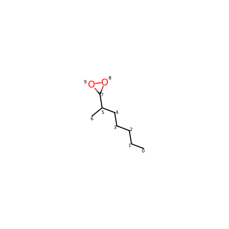 CCCCCC(C)[C]1OO1